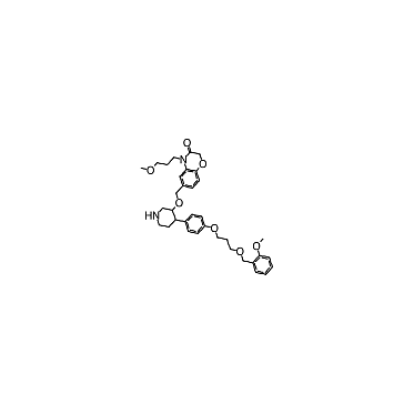 COCCCN1C(=O)COc2ccc(COC3CNCCC3c3ccc(OCCCOCc4ccccc4OC)cc3)cc21